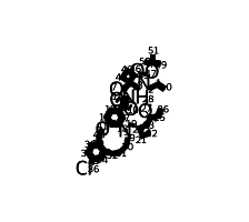 C=CCN(CC1(C(=O)NS(=O)(=O)c2ccc3c(c2)N(C[C@@H]2CC[C@H]2[C@@H](C=C)OC)CCCCc2cc(Cl)ccc2CO3)CCC1)C(=O)OC(C)(C)C